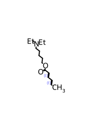 C/C=C/C=C/C(=O)OCCCCCN(CC)CC